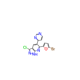 Clc1n[nH]c2nc(-c3ccc(Br)o3)c(-c3ccncn3)cc12